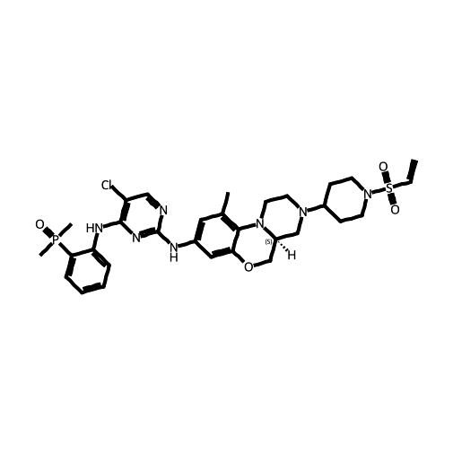 C=CS(=O)(=O)N1CCC(N2CCN3c4c(C)cc(Nc5ncc(Cl)c(Nc6ccccc6P(C)(C)=O)n5)cc4OC[C@@H]3C2)CC1